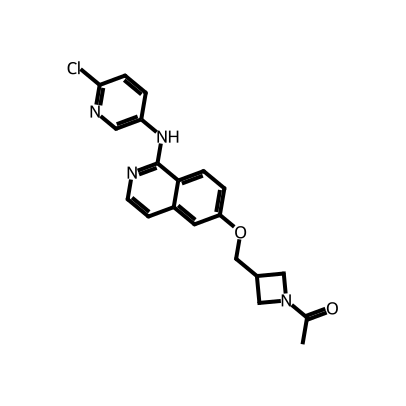 CC(=O)N1CC(COc2ccc3c(Nc4ccc(Cl)nc4)nccc3c2)C1